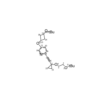 CC(C)(C)OCCOC1(C#Cc2ccc(OC3CC(OC(C)(C)C)C3)cn2)CC1